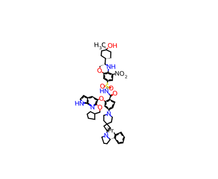 CC(C)c1ccccc1[C@@H]1CCCN1C1CC2(CCN(c3ccc(C(=O)NS(=O)(=O)c4cc5c(c([N+](=O)[O-])c4)N[C@@H]([C@H]4CC[C@](C)(O)CC4)CO5)c(Oc4cc5cc[nH]c5nc4OCC4CCCC4)c3)CC2)C1